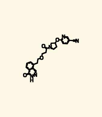 N#Cc1ccc(OC2CCN(C(=O)CCOCCc3cccc4c(=O)[nH]ncc34)C2)nc1